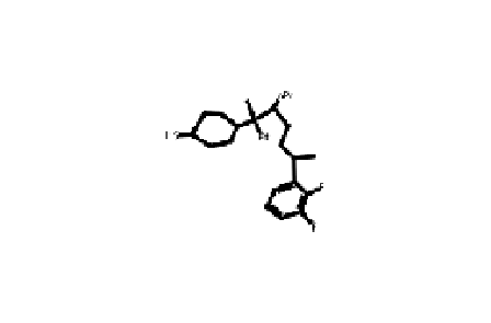 CCCC(CCC(C)c1cccc(F)c1F)C(C)(CC)C1CCC(S)CC1